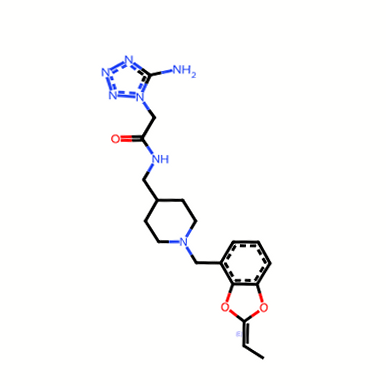 C/C=C1\Oc2cccc(CN3CCC(CNC(=O)Cn4nnnc4N)CC3)c2O1